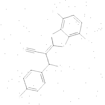 N#CC(=C1Sc2c(O)ccc(O)c2S1)C(O)c1ccc(Cl)cc1